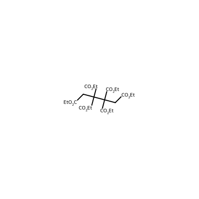 CCOC(=O)CC(C(=O)OCC)(C(=O)OCC)C(CC(=O)OCC)(C(=O)OCC)C(=O)OCC